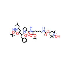 CC(C)CC(/C=C/C(Cc1ccccc1)C(=O)N1CCC[C@H]1C(=O)NC(CCCCNC(=O)OC1CC(C)(C)N(O)C(C)(C)C1)C(=O)OC(C)C)NC(=O)OC(C)(C)C